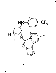 Cc1cnc(C(=O)N2C3C[C@H](C[C@H]3Nc3ccc(C(F)(F)F)cn3)[C@H]2C)c(-n2nccn2)c1